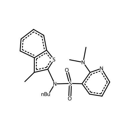 CCCCN(c1sc2ccccc2c1C)S(=O)(=O)c1cccnc1N(C)C